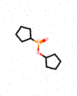 O=[PH](OC1CCCC1)C1CCCC1